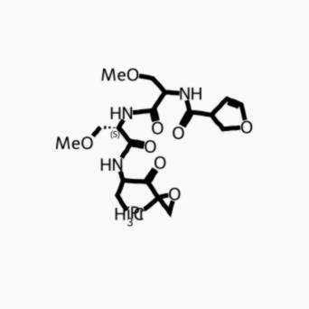 COCC(NC(=O)C1C=COC1)C(=O)N[C@@H](COC)C(=O)NC(CC(C)C)C(=O)C1(C)CO1